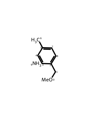 COCc1ccc(C)cc1.N